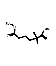 CC(C)COC(=O)C(C)(C)CCCC(=O)OC(C)(C)C